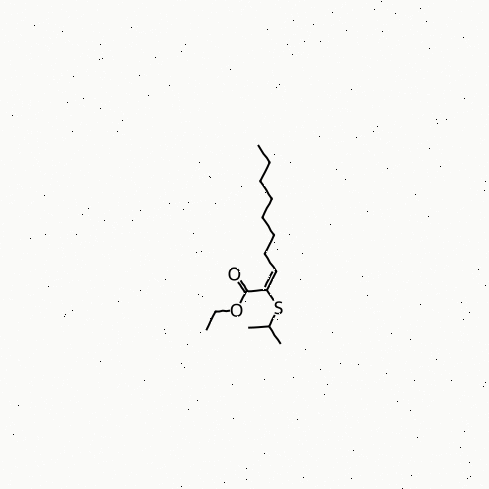 CCCCCCC/C=C(/SC(C)C)C(=O)OCC